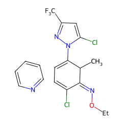 CCON=C1C(Cl)=CC=C(n2nc(C(F)(F)F)cc2Cl)C1C.c1ccncc1